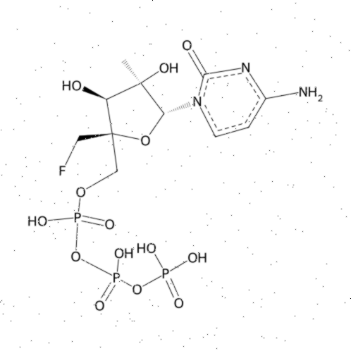 C[C@@]1(O)[C@H](O)[C@@](CF)(COP(=O)(O)OP(=O)(O)OP(=O)(O)O)O[C@H]1n1ccc(N)nc1=O